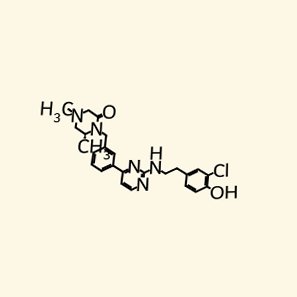 C[C@H]1CN(C)CC(=O)N1Cc1cccc(-c2ccnc(NCCc3ccc(O)c(Cl)c3)n2)c1